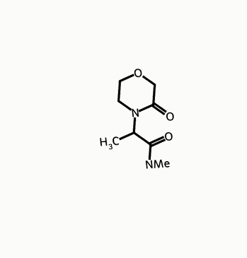 CNC(=O)C(C)N1CCOCC1=O